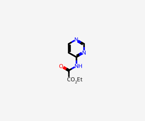 CCOC(=O)C(=O)Nc1ccncn1